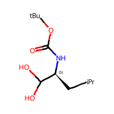 CC(C)C[C@H](NC(=O)OC(C)(C)C)C(O)O